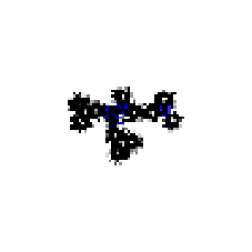 c1ccc(-n2c3ccccc3c3cc(-c4ccc5c(c4)c4ccccc4n5-c4nc(-c5ccc6c7ccccc7c7ccccc7c6c5)cc(-c5ccc6c7ccccc7c7ccccc7c6c5)n4)ccc32)cc1